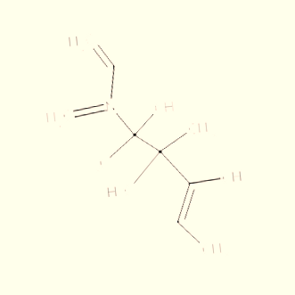 C=C[N+](=C)C(C)(C)C(C)(C)/C(C)=C/C